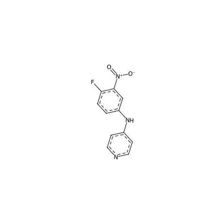 O=[N+]([O-])c1cc(Nc2ccncc2)ccc1F